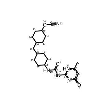 Cc1cc(=O)nc(NC(=O)NC2CCC(CC3CCC(OC#N)CC3)CC2)[nH]1